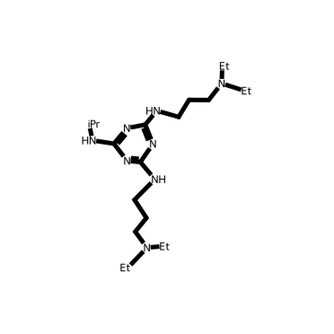 CCN(CC)CCCNc1nc(NCCCN(CC)CC)nc(NC(C)C)n1